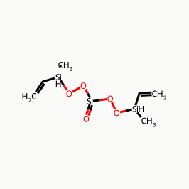 C=C[SiH](C)OO[Si](=O)OO[SiH](C)C=C